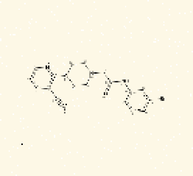 N#Cc1cccnc1N1CCN(CC(=O)Nc2cccc(Br)c2)CC1